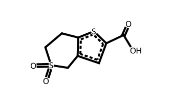 O=C(O)c1cc2c(s1)CCS(=O)(=O)C2